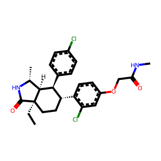 CC[C@@]12CC[C@@H](c3ccc(OCC(=O)NC)cc3Cl)[C@H](c3ccc(Cl)cc3)[C@@H]1[C@@H](C)NC2=O